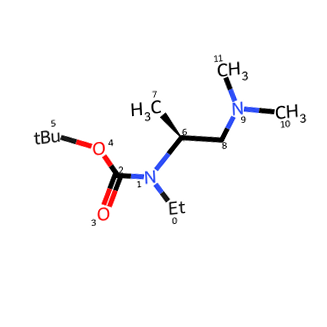 CCN(C(=O)OC(C)(C)C)[C@@H](C)CN(C)C